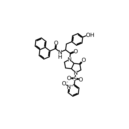 O=C(NC(Cc1ccc(O)cc1)C(=O)N1CCC2C1C(=O)CN2S(=O)(=O)c1cccc[n+]1[O-])c1cccc2ccccc12